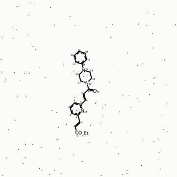 CCOC(=O)/C=C/c1cccc(/C=C/C(=O)N2CCN(c3ccccc3)CC2)n1